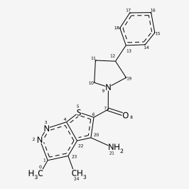 Cc1nnc2sc(C(=O)N3CCC(c4ccccc4)C3)c(N)c2c1C